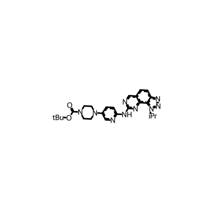 CC(C)n1nnc2ccc3cnc(Nc4ccc(N5CCN(C(=O)OC(C)(C)C)CC5)cn4)nc3c21